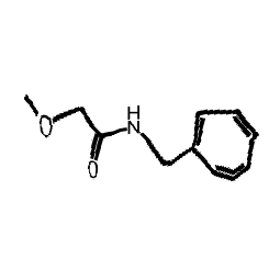 COCC(=O)NCc1ccccc1